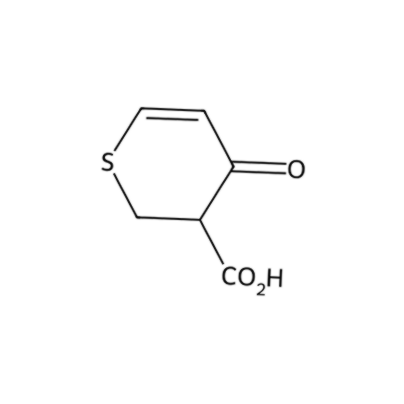 O=C(O)C1CSC=CC1=O